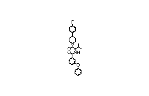 CC(C)[C@@H](NC(=O)c1cccc(Oc2ccccc2)c1)C(=O)N1CCC(c2ccc(F)cc2)CC1